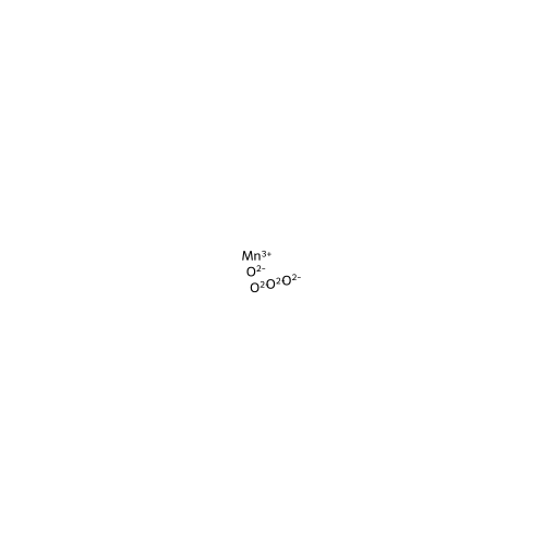 [Mn+3].[O-2].[O-2].[O-2].[O-2]